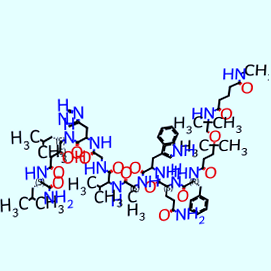 CNC(=O)CCCC(=O)NC(C)(C)COC(C)(C)CCC(=O)N[C@H](Cc1ccccc1)C(=O)N[C@@H](CCC(N)=O)C(=O)NC(Cc1c[nH]c2ccccc12)C(=O)N[C@@H](C)C(=O)NC(C(=O)NCC(=O)NC(Cc1c[nH]cn1)C(=O)N[C@@H](CC(C)C)[C@@H](O)CC(=O)N[C@@H](CC(C)C)C(N)=O)C(C)C